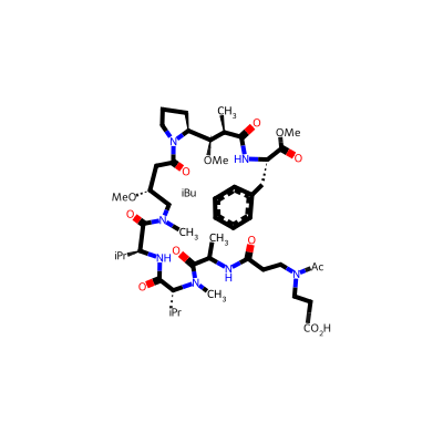 CC[C@H](C)C([C@@H](CC(=O)N1CCC[C@H]1[C@H](OC)[C@@H](C)C(=O)N[C@@H](Cc1ccccc1)C(=O)OC)OC)N(C)C(=O)[C@@H](NC(=O)[C@@H](C(C)C)N(C)C(=O)C(C)NC(=O)CCN(CCC(=O)O)C(C)=O)C(C)C